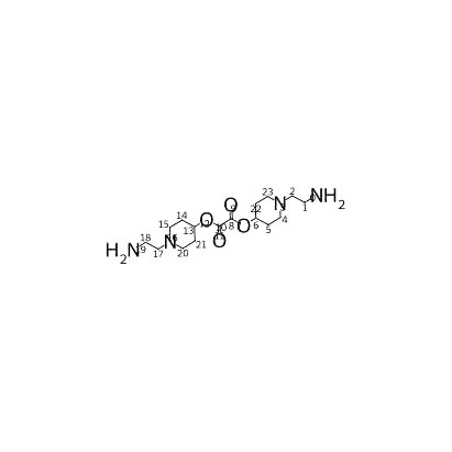 NCCN1CCC(OC(=O)C(=O)OC2CCN(CCN)CC2)CC1